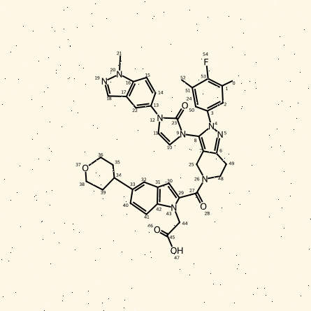 Cc1cc(-n2nc3c(c2-n2ccn(-c4ccc5c(cnn5C)c4)c2=O)CN(C(=O)c2cc4cc(C5CCOCC5)ccc4n2CC(=O)O)CC3)cc(C)c1F